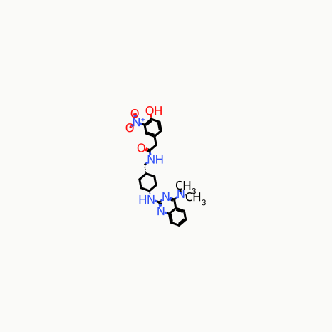 CN(C)c1nc(N[C@H]2CC[C@@H](CNC(=O)Cc3ccc(O)c([N+](=O)[O-])c3)CC2)nc2ccccc12